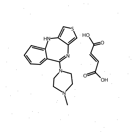 CN1CCN(C2=Nc3cscc3Nc3ccccc32)CC1.O=C(O)C=CC(=O)O